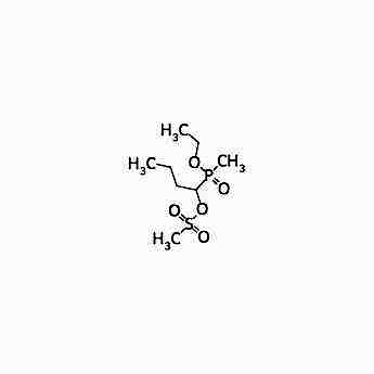 CCCC(OS(C)(=O)=O)P(C)(=O)OCC